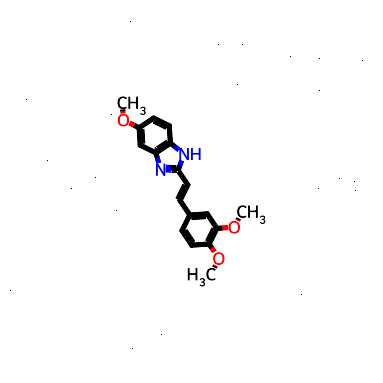 COc1ccc2[nH]c(/C=C/c3ccc(OC)c(OC)c3)nc2c1